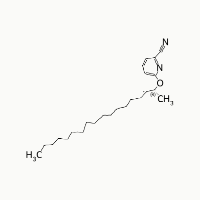 CCCCCCCCCCCCCCC[CH][C@@H](C)Oc1cccc(C#N)n1